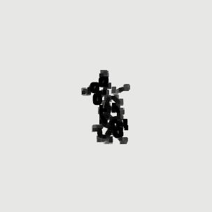 CC[C@@H]1CN2CC[C@@]3(O)C(=Nc4cccc(OC)c43)[C@@H]2C[C@@H]1C(COC)C(=O)OC